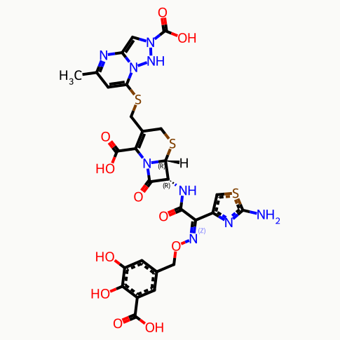 CC1=NC2=CN(C(=O)O)NN2C(SCC2=C(C(=O)O)N3C(=O)[C@@H](NC(=O)/C(=N\OCc4cc(O)c(O)c(C(=O)O)c4)c4csc(N)n4)[C@H]3SC2)=C1